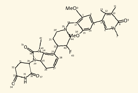 COc1cc(-c2cn(C)c(=O)c(C)c2C)cc(OC)c1CN1CCC(C2=C3C(CC=C2)N(C2CCC(=O)NC2=O)C(=O)N3C)C(F)C1